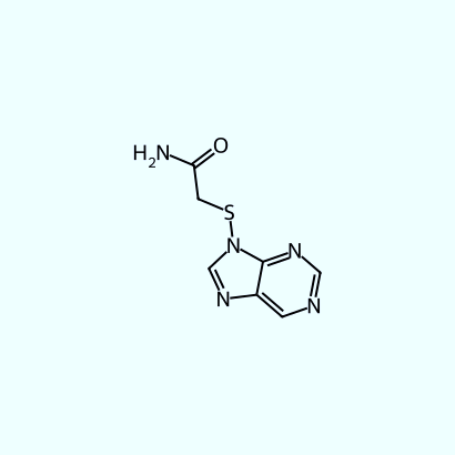 NC(=O)CSn1cnc2cncnc21